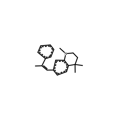 CC(=Cc1ccc2c(c1)N(C)CCC2(C)C)c1ccccc1